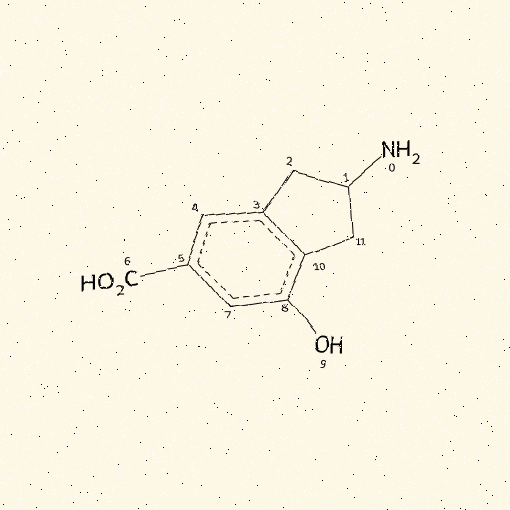 NC1Cc2cc(C(=O)O)cc(O)c2C1